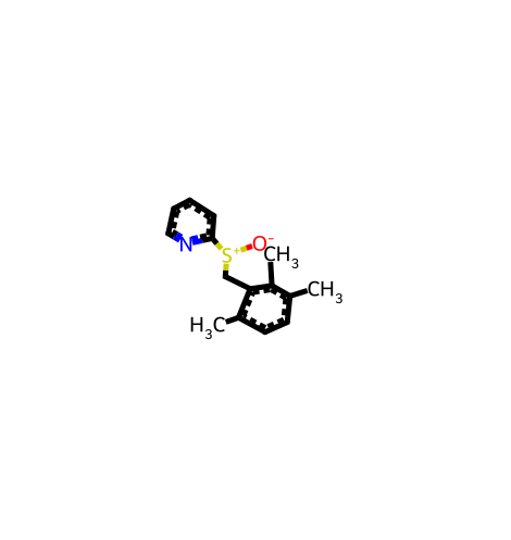 Cc1ccc(C)c(C[S+]([O-])c2ccccn2)c1C